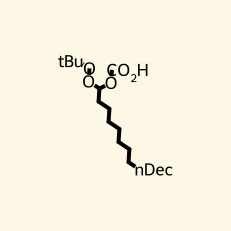 CCCCCCCCCCCCCCCCCC(OOC(C)(C)C)OC(=O)O